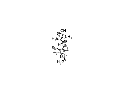 CCn1cc(-c2ccnc(NC(=O)CC(CC)(CC)CC(=O)O)c2)c(-c2ccc(F)cc2)n1